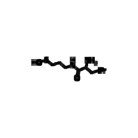 CC(C)CC(N)C(=O)NCCCSO